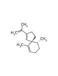 C=C(C)C1=C[C@@]2(CC1)C(C)=CCC[C@H]2C